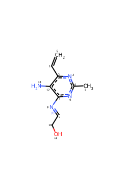 C=Cc1nc(C)nc(/N=C/CO)c1N